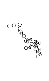 O=C(NS(=O)(=O)c1ccc(N[C@H](CCN2C[C@H]3C[C@H]2CO3)CSc2ccccc2)c(S(=O)(=O)C(F)(F)Cl)c1)c1ccc(N2CCN(CC3=C(c4ccc(Cl)cc4)CCCC3)CC2)cc1